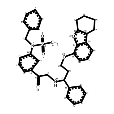 CS(=O)(=O)N(Cc1ccccc1)c1cccc(C(=O)CNC(CCOc2cccc3c4c(oc23)CCCC4)c2ccccc2)c1